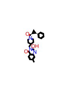 Cc1ccc2c(=O)n(CC3(O)CCN(C(=O)[C@H]4C[C@@H]4c4ccccc4)CC3)cnc2c1